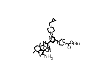 CC1CCC(C)(c2nc(-c3cc(N4CCN(C(=O)OC(C)(C)C)CC4)cc(N4CCN(CC5CC5)CC4)n3)no2)c2c1sc(N)c2C#N